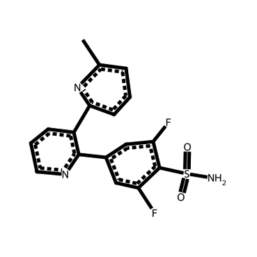 Cc1cccc(-c2cccnc2-c2cc(F)c(S(N)(=O)=O)c(F)c2)n1